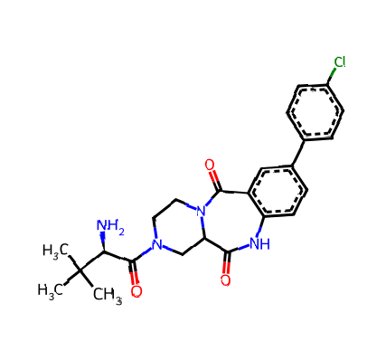 CC(C)(C)[C@@H](N)C(=O)N1CCN2C(=O)c3cc(-c4ccc(Cl)cc4)ccc3NC(=O)C2C1